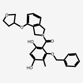 Cc1c(O)cc(O)c(C(=O)N2Cc3cccc(OC4CCOC4)c3C2)c1OCc1ccccc1